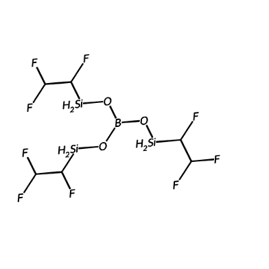 FC(F)C(F)[SiH2]OB(O[SiH2]C(F)C(F)F)O[SiH2]C(F)C(F)F